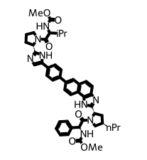 CCC[C@H]1C[C@@H](c2nc3ccc4cc(-c5ccc(-c6cnc([C@@H]7CCCN7C(=O)C(NC(=O)OC)C(C)C)[nH]6)cc5)ccc4c3[nH]2)N(C(=O)[C@H](NC(=O)OC)c2ccccc2)C1